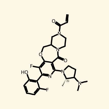 C=CC(=O)N1CCN2C(=O)c3c(N4CCC(N(C)C)[C@@H]4C)nc(-c4c(O)cccc4F)c(F)c3OCC2C1